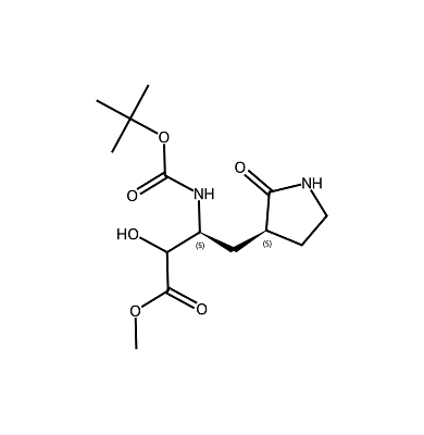 COC(=O)C(O)[C@H](C[C@@H]1CCNC1=O)NC(=O)OC(C)(C)C